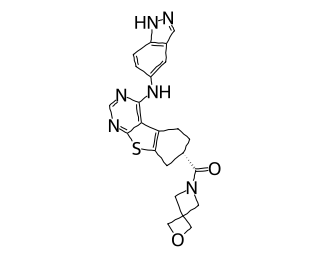 O=C([C@H]1CCc2c(sc3ncnc(Nc4ccc5[nH]ncc5c4)c23)C1)N1CC2(COC2)C1